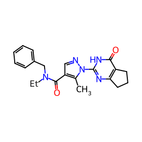 CCN(Cc1ccccc1)C(=O)c1cnn(-c2nc3c(c(=O)[nH]2)CCC3)c1C